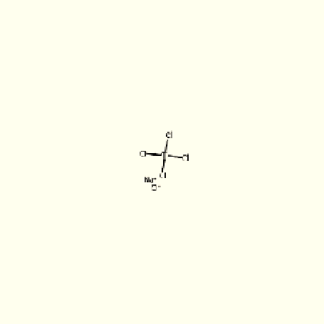 [Cl-].[Cl][Ti]([Cl])([Cl])[Cl].[Na+]